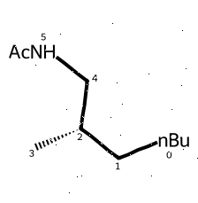 CCCCC[C@H](C)CNC(C)=O